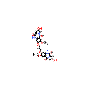 COc1cc2c(cc1OCCCOc1cc3c(cc1OC)C(=O)N1C[C@H](O)C[C@H]1C(=O)N3)NC(=O)C1C[C@@H](O)CN1C2=O